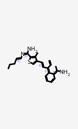 C=CC(/C=C/c1csc(/C(N)=N\C=C\CCC)c1C)=c1/cccc/c1=C(/C)N